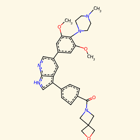 COc1cc(-c2cnc3[nH]cc(-c4ccc(C(=O)N5CC6(COC6)C5)cc4)c3c2)cc(OC)c1N1CCN(C)CC1